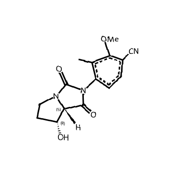 COc1c(C#N)ccc(N2C(=O)[C@@H]3[C@H](O)CCN3C2=O)c1C